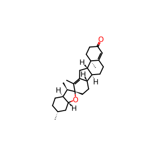 CC1=C2C[C@H]3[C@@H](CCC4=CC(=O)CC[C@@]43C)[C@@H]2CC[C@]12O[C@@H]1C[C@H](C)CC[C@H]1[C@H]2C